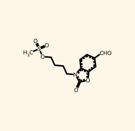 CS(=O)(=O)OCCCCn1c(=O)oc2cc(C=O)ccc21